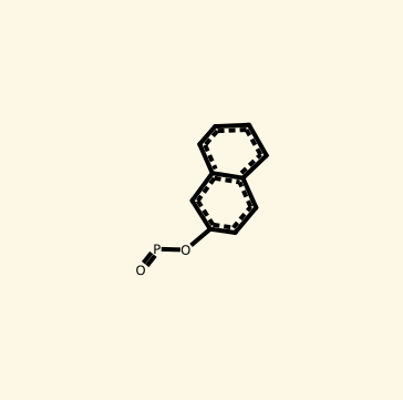 O=POc1ccc2ccccc2c1